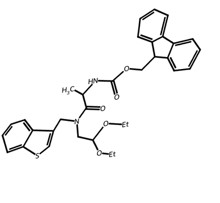 CCOC(CN(Cc1csc2ccccc12)C(=O)C(C)NC(=O)OCC1c2ccccc2-c2ccccc21)OCC